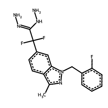 Cc1nn(Cc2ccccc2F)c2cc(C(F)(F)/C(=N/N)NN)ccc12